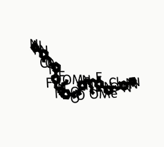 COCCn1c(Cc2cc(F)c(-c3cccc(OCc4cnc(-n5ccnn5)cc4Cl)n3)cc2F)nc2ccc(C(=O)OC(=O)c3ccc4nc(Cc5cc(F)c(-c6cccc(OCc7cnc(-n8ccnn8)cc7Cl)n6)cc5F)n(CCOC)c4c3)cc21